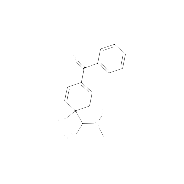 CCCC([S+](C)[O-])C1(Cl)C=CC(C(=O)c2ccccc2)=CC1